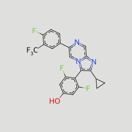 Oc1cc(F)c(-c2c(C3CC3)nc3cnc(-c4ccc(F)c(C(F)(F)F)c4)cn23)c(F)c1